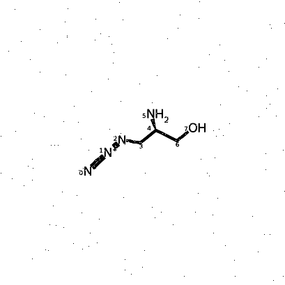 [N-]=[N+]=NC[C@@H](N)CO